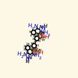 [H]/N=N/C1=C(N)c2ccccc2C(c2ccc(-c3ccc(C4(S(=O)(=O)O)c5ccccc5C(N)=C(/N=N/[H])C4N)c(SC)c3)cc2SC)(S(=O)(=O)O)C1N